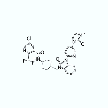 Cn1ccn(-c2ccc(-n3c(=O)n(CC4CCC(NC(=O)c5cc(Cl)cnc5C(F)F)CC4)c4ccccc43)nc2)c1=O